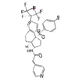 O=C(Cc1ccncc1)N[C@H]1CC[C@]2(S(=O)(=O)c3ccc(F)cc3)c3ccc(C(F)(C(F)(F)F)C(F)(F)F)cc3CC[C@H]12